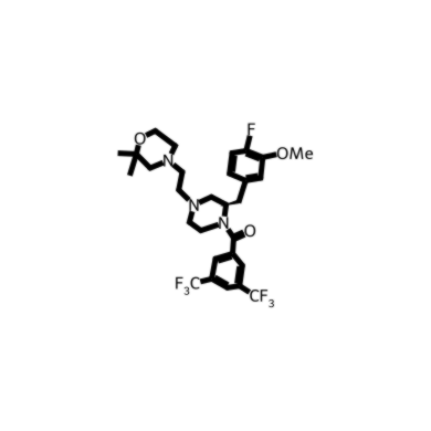 COc1cc(C[C@@H]2CN(CCN3CCOC(C)(C)C3)CCN2C(=O)c2cc(C(F)(F)F)cc(C(F)(F)F)c2)ccc1F